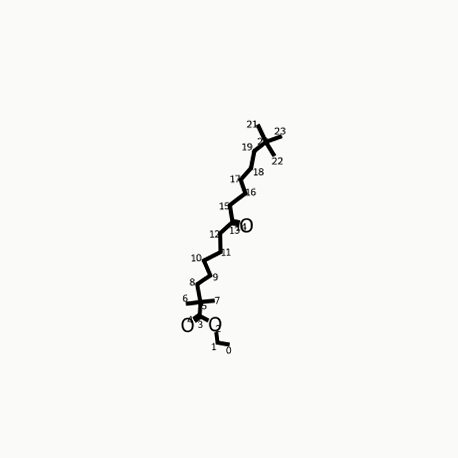 CCOC(=O)C(C)(C)CCCCCC(=O)CCCCCC(C)(C)C